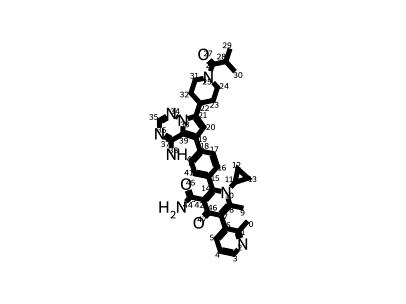 Cc1ncccc1-c1c(C)n(C2CC2)c(-c2ccc(-c3cc(C4CCN(C(=O)C(C)C)CC4)n4ncnc(N)c34)cc2)c(C(N)=O)c1=O